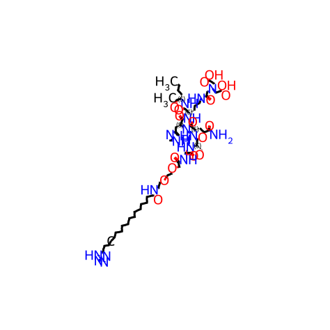 CCCC[C@H](NC(=O)[C@H](CCCNC(=O)CN(CC(=O)O)CC(=O)O)NC(=O)[C@H](Cc1c[nH]cn1)NC(=O)[C@H](CCC(N)=O)NC(=O)[C@H](CO)NC(=O)CNC(=O)COCCOCCNC(=O)CCCCCCCCCCCCCCCc1nnn[nH]1)C(C)=O